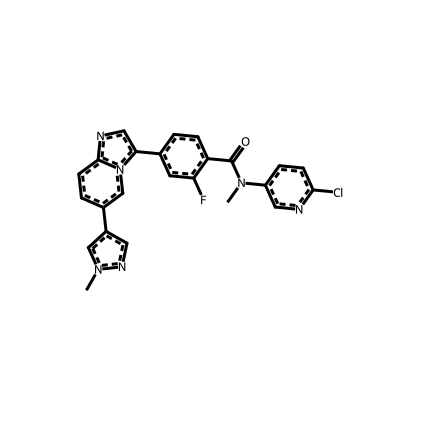 CN(C(=O)c1ccc(-c2cnc3ccc(-c4cnn(C)c4)cn23)cc1F)c1ccc(Cl)nc1